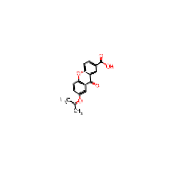 CC(C)Oc1ccc2oc3ccc(C(=O)O)cc3c(=O)c2c1